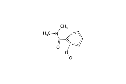 CN(C)C(=O)c1ccccc1O[O]